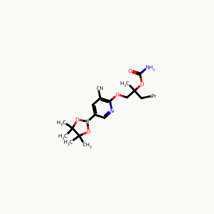 CC(C)CC(C)(COc1ncc(B2OC(C)(C)C(C)(C)O2)cc1C#N)OC(N)=O